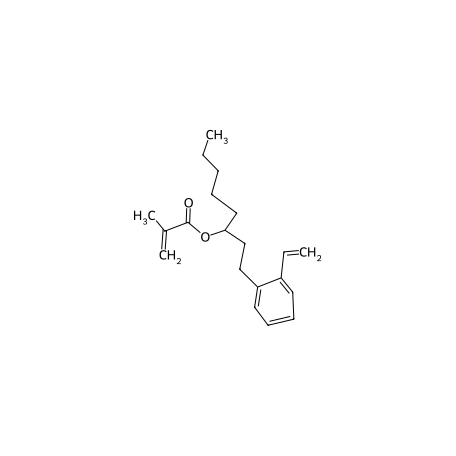 C=Cc1ccccc1CCC(CCCCC)OC(=O)C(=C)C